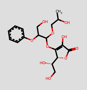 CC(O)COC(OC1=C(O)C(=O)O[C@@H]1[C@@H](O)CO)C(CO)Oc1ccccc1